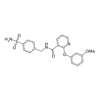 COc1cccc(Oc2ncccc2C(=O)NCc2ccc(S(N)(=O)=O)cc2)c1